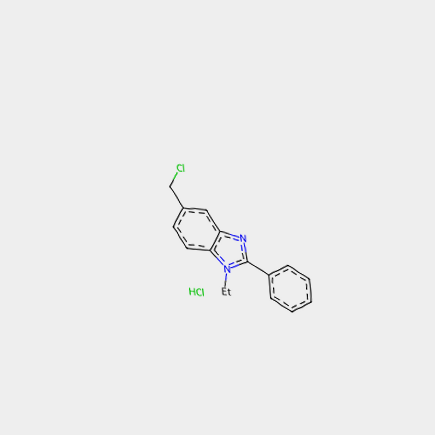 CCn1c(-c2ccccc2)nc2cc(CCl)ccc21.Cl